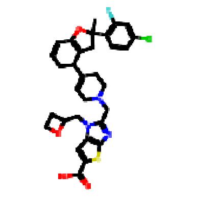 CC1(c2ccc(Cl)cc2F)CC2=C(C=CCC2C2=CCN(Cc3nc4sc(C(=O)O)cc4n3CC3CCO3)CC2)O1